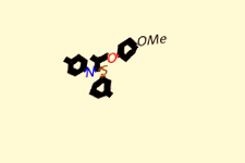 COc1ccc(OC=C(C)C(=Nc2ccc(C)cc2)Sc2cccc(C)c2)cc1